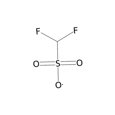 [O]S(=O)(=O)C(F)F